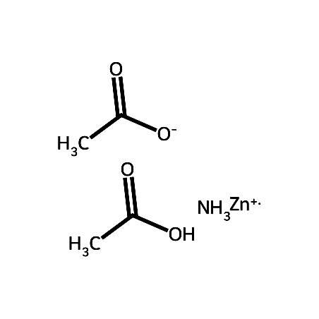 CC(=O)O.CC(=O)[O-].N.[Zn+]